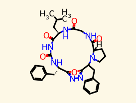 CC(C)C[C@H]1NC(=O)CNC(=O)[C@@H]2CCCN2C(Cc2ccccc2)c2nnc(o2)[C@H](Cc2ccccc2)NC(=O)NC1=O